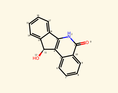 O=c1[nH]c2c(c3ccccc13)[C@@H](O)c1ccccc1-2